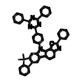 CC1(C)c2ccccc2-c2cc3c4ccc5nc(-c6ccccc6)oc5c4n(-c4ccc(-c5nc(-c6ccccc6)nc(-c6ccccc6)n5)cc4)c3cc21